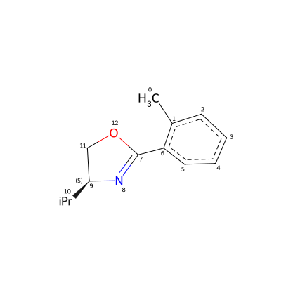 Cc1ccccc1C1=N[C@@H](C(C)C)CO1